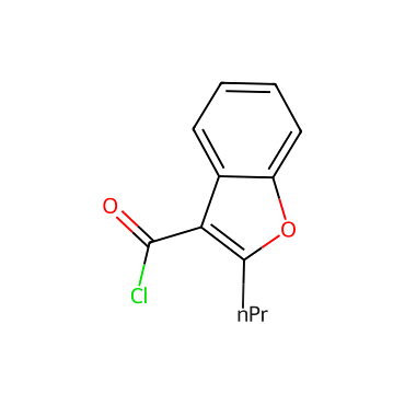 CCCc1oc2ccccc2c1C(=O)Cl